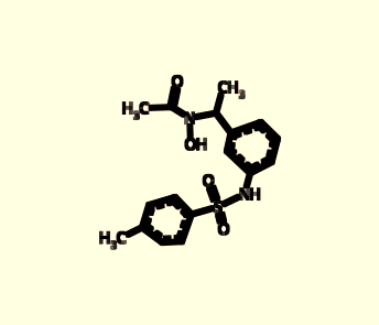 CC(=O)N(O)C(C)c1cccc(NS(=O)(=O)c2ccc(C)cc2)c1